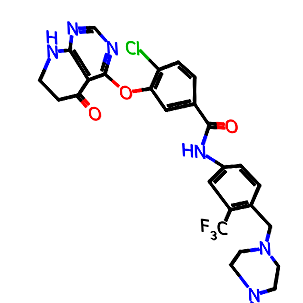 CCN1CCN(Cc2ccc(NC(=O)c3ccc(Cl)c(Oc4ncnc5c4C(=O)CCN5)c3)cc2C(F)(F)F)CC1